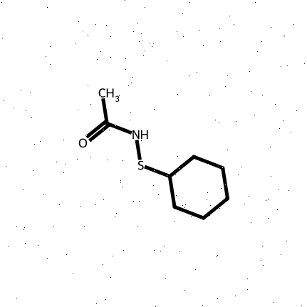 CC(=O)NSC1CCCCC1